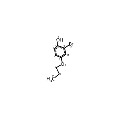 CCCOc1ccc(O)c(Br)c1